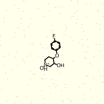 [O-][NH+]1CCC(Oc2ccc(F)cc2)C(O)C1